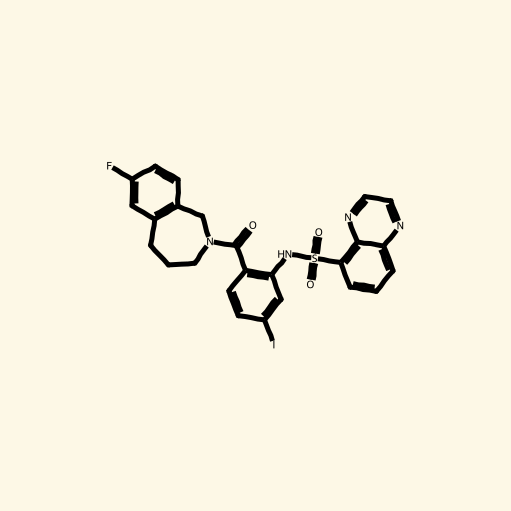 O=C(c1ccc(I)cc1NS(=O)(=O)c1cccc2nccnc12)N1CCCc2cc(F)ccc2C1